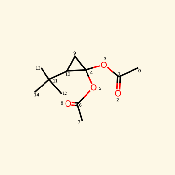 CC(=O)OC1(OC(C)=O)CC1C(C)(C)C